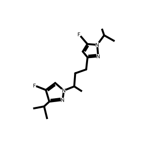 CC(C)c1nn(C(C)CCc2cc(F)n(C(C)C)n2)cc1F